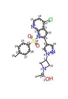 CB(O)N1CC(n2cc(-c3cc4c(Cl)ccnc4n3S(=O)(=O)c3ccc(C)cc3)cn2)C1